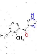 Cc1cccc(C(=O)c2c[nH]cn2)c1C